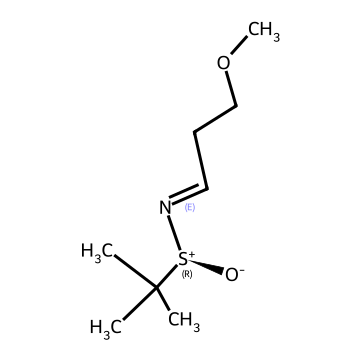 COCC/C=N/[S@@+]([O-])C(C)(C)C